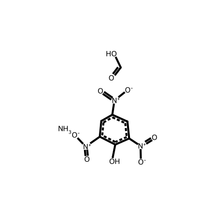 N.O=CO.O=[N+]([O-])c1cc([N+](=O)[O-])c(O)c([N+](=O)[O-])c1